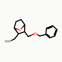 O=CCC1C2CCC(O2)C1COCc1ccccc1